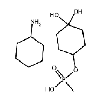 CP(=O)(O)OC1CCC(O)(O)CC1.NC1CCCCC1